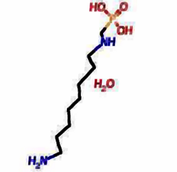 NCCCCCCCCNCP(=O)(O)O.O